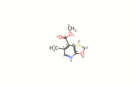 COC(=O)c1c(C)cnc2c1SCO2